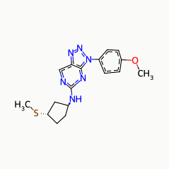 COc1ccc(-n2nnc3cnc(N[C@H]4CC[C@H](SC)C4)nc32)cc1